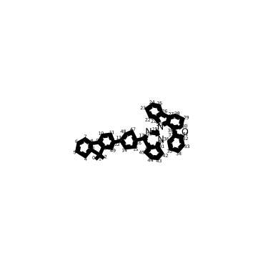 CC1(C)c2ccccc2-c2ccc(-c3ccc(-c4nc(-n5c6ccccc6c6ccc7oc8ccccc8c7c65)nc5ccccc45)cc3)cc21